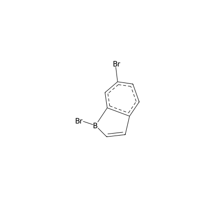 BrB1C=Cc2ccc(Br)cc21